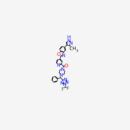 Cc1n[nH]cc1-c1ccc2oc(-c3ccnc(C(=O)N4CCN(C(c5ccccc5)c5nnn(C(F)F)n5)CC4)c3)nc2c1